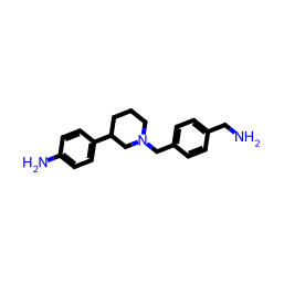 NCc1ccc(CN2CCCC(c3ccc(N)cc3)C2)cc1